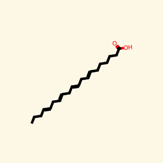 CCCC=CCC=CCC=CCC=CCCCCCC(=O)O